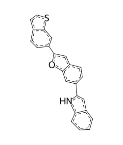 c1ccc2[nH]c(-c3ccc4cc(-c5ccc6ccsc6c5)oc4c3)cc2c1